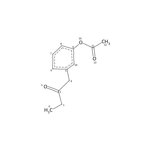 CCC(=O)Cc1cccc(OC(C)=O)c1